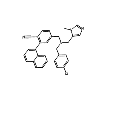 Cn1cncc1CN(Cc1ccc(Cl)cc1)Cc1ccc(C#N)c(-c2cccc3ccccc23)c1